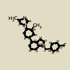 Cc1cn(-c2ccc(-c3cccc4c3ccn4Cc3ccc(F)cc3)cc2C)cn1